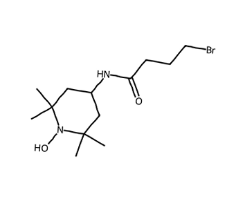 CC1(C)CC(NC(=O)CCCBr)CC(C)(C)N1O